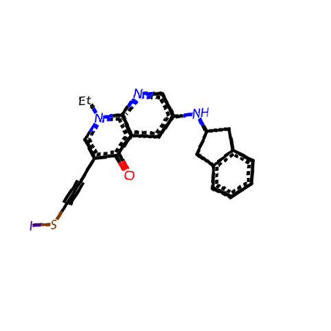 CCn1cc(C#CSI)c(=O)c2cc(NC3Cc4ccccc4C3)cnc21